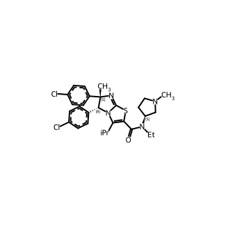 CCN(C(=O)C1=C(C(C)C)N2C(=N[C@@](C)(c3ccc(Cl)cc3)[C@H]2c2ccc(Cl)cc2)S1)[C@H]1CCN(C)C1